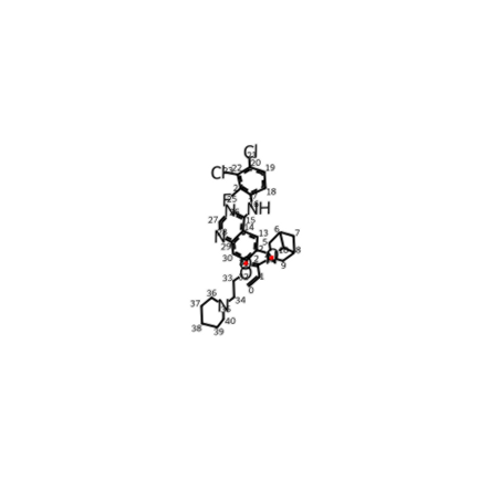 C=CC(=O)N1CC2CC(C1)C2Oc1cc2c(Nc3ccc(Cl)c(Cl)c3F)ncnc2cc1OCCN1CCCCC1